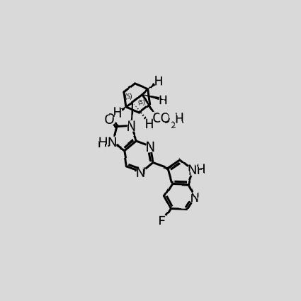 O=C(O)[C@H]1[C@H]2CC[C@H](CC2)[C@@H]1n1c(=O)[nH]c2cnc(-c3c[nH]c4ncc(F)cc34)nc21